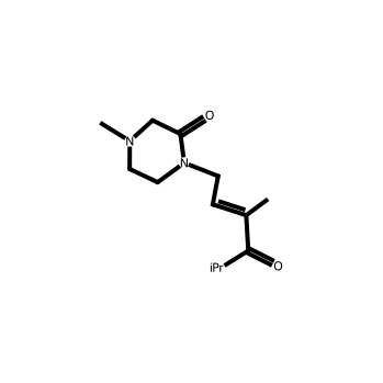 C/C(=C\CN1CCN(C)CC1=O)C(=O)C(C)C